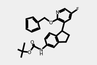 CC(C)(C)OC(=O)Nc1ccc2c(c1)CCC2c1cc(F)cnc1OCc1ccccc1